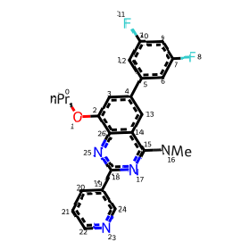 CCCOc1cc(-c2cc(F)cc(F)c2)cc2c(NC)nc(-c3cccnc3)nc12